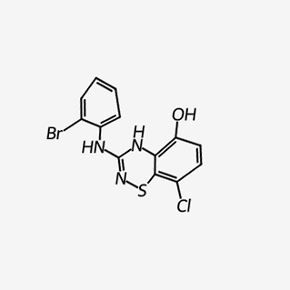 Oc1ccc(Cl)c2c1NC(Nc1ccccc1Br)=NS2